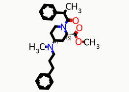 COC(=O)[C@@H]1C[C@H](N(C)CCCc2ccccc2)CCN1C(=O)C(C)c1ccccc1